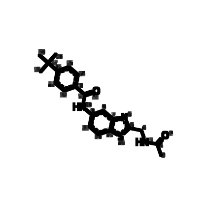 CC(=O)NCc1nc2cc(NC(=O)c3ccc(C(C)(C)C)cc3)ccc2s1